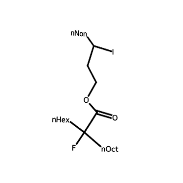 CCCCCCCCCC(I)CCOC(=O)C(F)(CCCCCC)CCCCCCCC